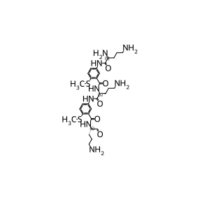 CSc1ccc(NC(=O)[C@H](CCCN)NC(=O)c2cc(NC(=O)[C@@H](N)CCCN)ccc2SC)cc1C(=O)N[C@H](C=O)CCCN